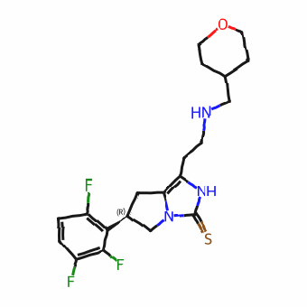 Fc1ccc(F)c([C@H]2Cc3c(CCNCC4CCOCC4)[nH]c(=S)n3C2)c1F